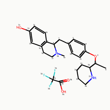 CC(Oc1ccc(CC2c3ccc(O)cc3CCN2C)cc1)C1CCCCN1.O=C(O)C(F)(F)F